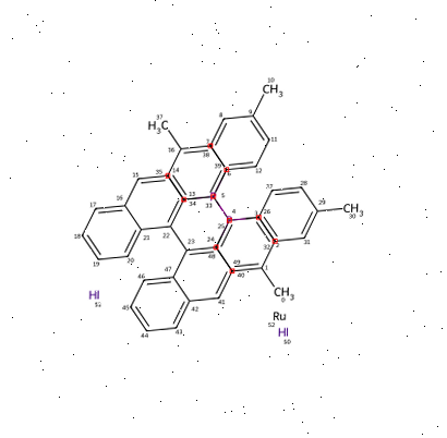 Cc1ccc(P(c2ccc(C)cc2)c2ccc3ccccc3c2-c2c(P(c3ccc(C)cc3)c3ccc(C)cc3)ccc3ccccc23)cc1.I.I.[Ru]